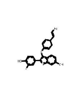 CC(=O)/C=C/C1C=CC(Oc2c(-c3ccc(O)c(F)c3)sc3cc(O)ccc23)=CC1